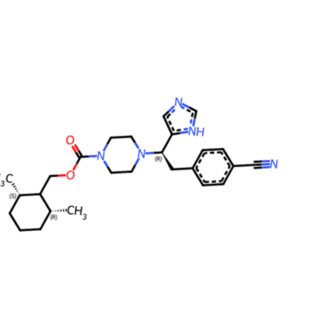 C[C@@H]1CCC[C@H](C)C1COC(=O)N1CCN([C@H](Cc2ccc(C#N)cc2)c2cnc[nH]2)CC1